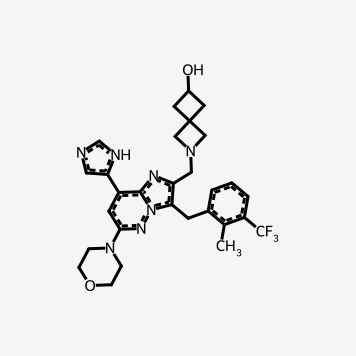 Cc1c(Cc2c(CN3CC4(CC(O)C4)C3)nc3c(-c4cnc[nH]4)cc(N4CCOCC4)nn23)cccc1C(F)(F)F